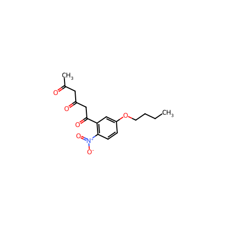 CCCCOc1ccc([N+](=O)[O-])c(C(=O)CC(=O)CC(C)=O)c1